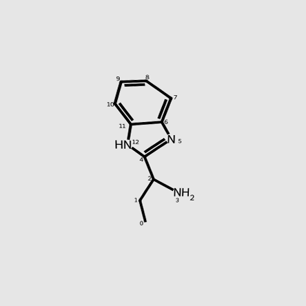 CCC(N)c1nc2ccccc2[nH]1